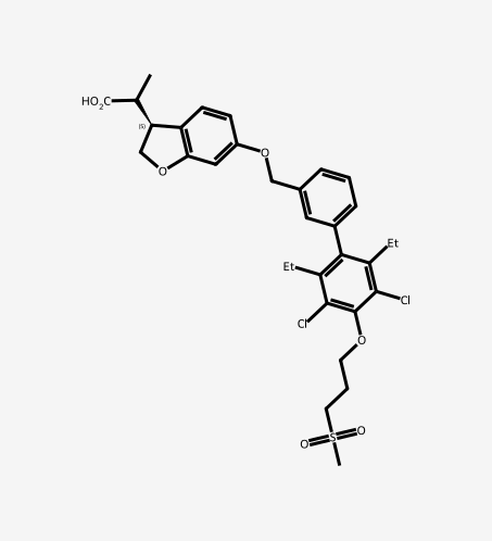 CCc1c(Cl)c(OCCCS(C)(=O)=O)c(Cl)c(CC)c1-c1cccc(COc2ccc3c(c2)OC[C@H]3C(C)C(=O)O)c1